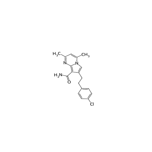 Cc1cc(C)n2cc(CCc3ccc(Cl)cc3)c(C(N)=O)c2n1